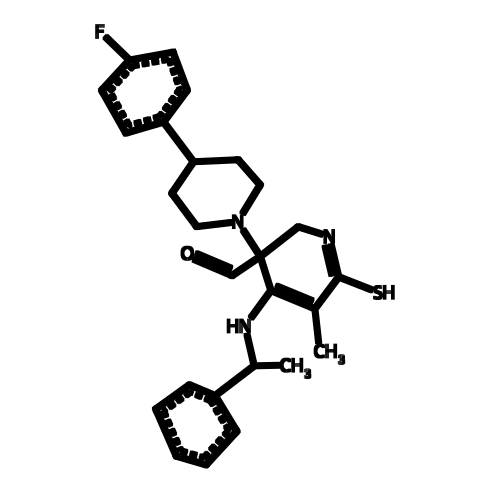 CC1=C(NC(C)c2ccccc2)C(C=O)(N2CCC(c3ccc(F)cc3)CC2)CN=C1S